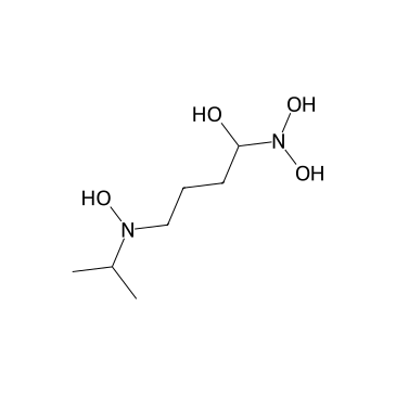 CC(C)N(O)CCCC(O)N(O)O